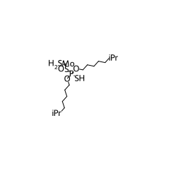 CC(C)CCCCCOP(=S)(S)OCCCCCC(C)C.S.[O]=[Mo]